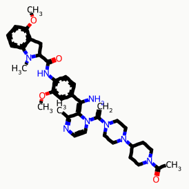 C=C(N1CCN(C2CCN(C(C)=O)CC2)CC1)N1C=CN=C(C)/C1=C(/N)c1ccc(NC(=O)C2Cc3c(OC)cccc3N2C)c(OC)c1